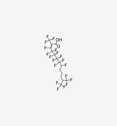 O=C(O)C(=C(F)C(F)(F)C(F)(F)C(F)(F)C(F)(F)C(F)CCCC(C(F)(F)F)C(F)(F)F)C(F)(F)F